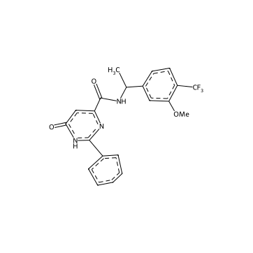 COc1cc(C(C)NC(=O)c2cc(=O)[nH]c(-c3ccccc3)n2)ccc1C(F)(F)F